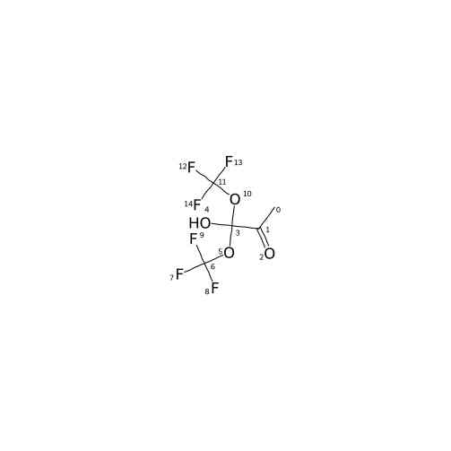 CC(=O)C(O)(OC(F)(F)F)OC(F)(F)F